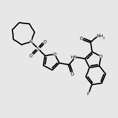 NC(=O)c1oc2ccc(F)cc2c1NC(=O)c1ccc(S(=O)(=O)N2CCCCCC2)o1